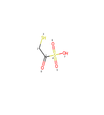 O=C(CS)S(=O)(=O)O